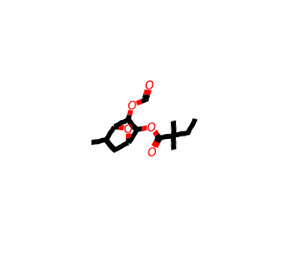 CCC(C)(C)C(=O)OC1C2CC(C)C(O2)C1OC=O